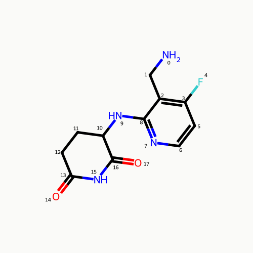 NCc1c(F)ccnc1NC1CCC(=O)NC1=O